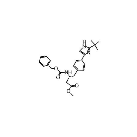 COC(=O)C[C@H](Cc1ccc(-c2c[nH]c(C(C)(C)C)n2)cc1)NC(=O)OCc1ccccc1